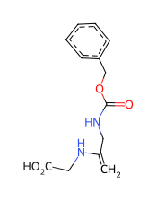 C=C(CNC(=O)OCc1ccccc1)NCC(=O)O